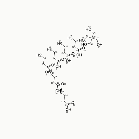 O=C(O)CCS.O=C(O)CCS.O=C(O)CCS.O=C(O)CCS.O=C(O)CCS.O=C(O)CCS.OCC(CO)(CO)CO